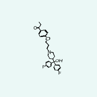 CCC(=O)c1ccc(OCCCN2CCC(C(O)(c3ccc(F)cc3)c3ccc(F)cc3)CC2)cc1